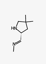 C/N=C/[C@H]1CC(C)(C)CN1